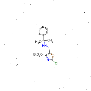 CCOC(=O)c1nc(Cl)sc1CNC(C)(C)c1ccccc1